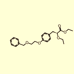 CCOC(=O)[C@H](Cc1ccc(OCCOCc2ccccc2)cc1)OCC